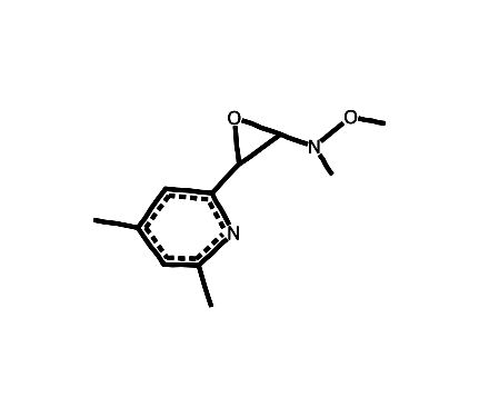 CON(C)C1OC1c1cc(C)cc(C)n1